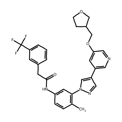 Cc1ccc(NC(=O)Cc2cccc(C(F)(F)F)c2)cc1-n1cc(-c2cncc(OCC3CCOC3)c2)cn1